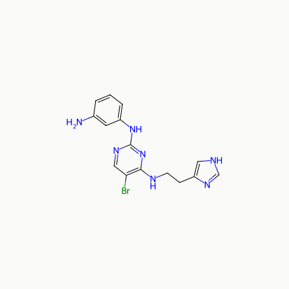 Nc1cccc(Nc2ncc(Br)c(NCCc3c[nH]cn3)n2)c1